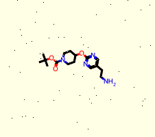 CC(C)(C)OC(=O)N1CCC(Oc2ncc(CCN)cn2)CC1